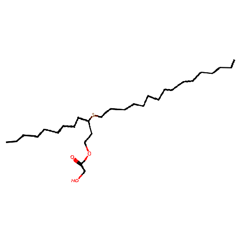 CCCCCCCCCCCCCCCCSC(CCCCCCCCC)CCOC(=O)CO